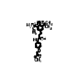 COC(=O)COc1ccc(NC(O)CCc2cc(C(C)(C)C)c(O)c(C(C)(C)C)c2)cc1